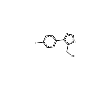 OCc1ocnc1-c1ccc(F)cc1